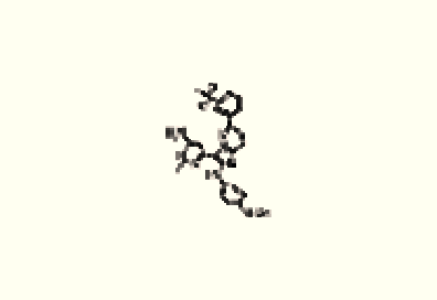 CC(=O)Nc1ccc(Nc2nc3ccc(-c4cccc(S(C)(=O)=O)c4)nn3c2-c2cc(N)nc(C)n2)cc1